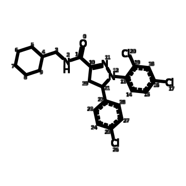 O=C(NCC1CCCCC1)C1=NN(c2ccc(Cl)cc2Cl)C(c2ccc(Cl)cc2)C1